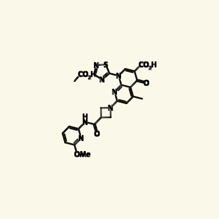 CC(=O)O.COc1cccc(NC(=O)C2CN(c3cc(C)c4c(=O)c(C(=O)O)cn(-c5ncns5)c4n3)C2)n1